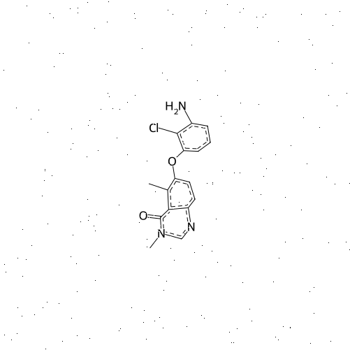 Cc1c(Oc2cccc(N)c2Cl)ccc2ncn(C)c(=O)c12